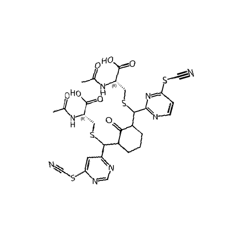 CC(=O)N[C@@H](CSC(c1cc(SC#N)ncn1)C1CCCC(C(SC[C@H](NC(C)=O)C(=O)O)c2nccc(SC#N)n2)C1=O)C(=O)O